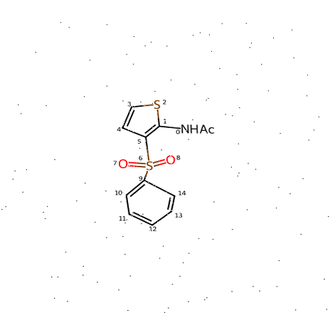 CC(=O)Nc1sccc1S(=O)(=O)c1ccccc1